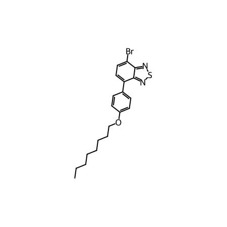 CCCCCCCCOc1ccc(-c2ccc(Br)c3nsnc23)cc1